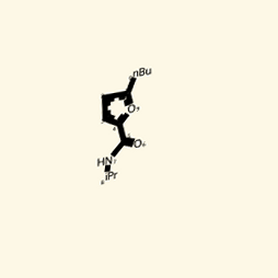 CCCCc1ccc(C(=O)NC(C)C)o1